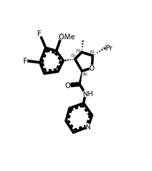 COc1c([C@@H]2[C@H](C)[C@H](C(C)C)O[C@H]2C(=O)Nc2cccnc2)ccc(F)c1F